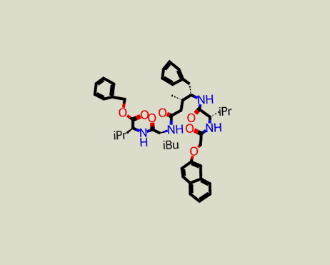 CC[C@H](C)[C@H](NC(=O)C[C@H](C)[C@H](Cc1ccccc1)NC(=O)[C@@H](NC(=O)COc1ccc2ccccc2c1)C(C)C)C(=O)N[C@H](C(=O)OCc1ccccc1)C(C)C